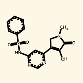 CN1CC(c2cc(NS(=O)(=O)c3ccccc3)ncn2)=C(O)C1=O